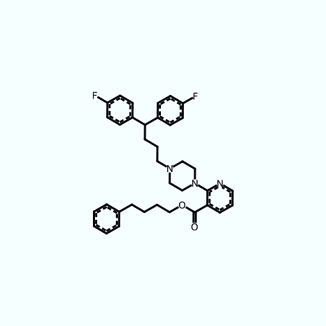 O=C(OCCCCc1ccccc1)c1cccnc1N1CCN(CCCC(c2ccc(F)cc2)c2ccc(F)cc2)CC1